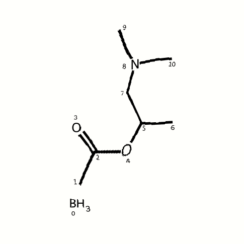 B.CC(=O)OC(C)CN(C)C